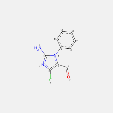 Nc1nc(Cl)c(C=O)n1-c1ccccc1